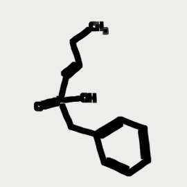 CCC=CP(=O)(O)Cc1ccccc1